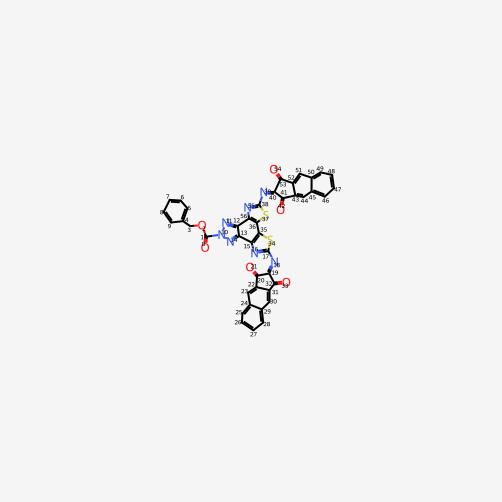 O=C(OCc1ccccc1)n1nc2c(n1)c1nc(N=c3c(=O)c4cc5ccccc5cc4c3=O)sc1c1sc(N=c3c(=O)c4cc5ccccc5cc4c3=O)nc21